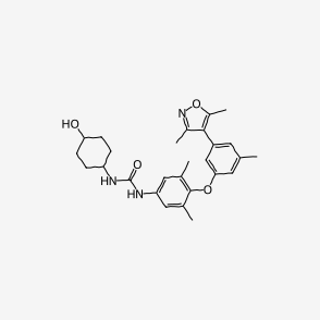 Cc1cc(Oc2c(C)cc(NC(=O)NC3CCC(O)CC3)cc2C)cc(-c2c(C)noc2C)c1